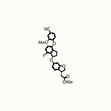 COC(=O)C[C@@H]1COc2cc(O[C@@H]3CCc4c(Oc5ccc(C#N)cc5OC)ccc(F)c43)ccc21